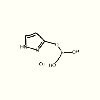 OB(O)Oc1cc[nH]n1.[Cu]